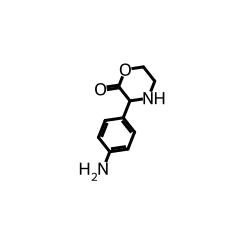 Nc1ccc(C2NCCOC2=O)cc1